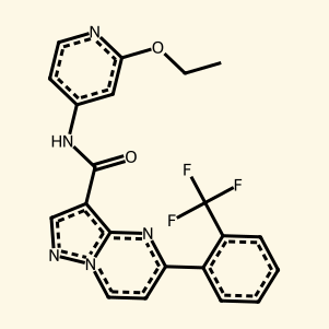 CCOc1cc(NC(=O)c2cnn3ccc(-c4ccccc4C(F)(F)F)nc23)ccn1